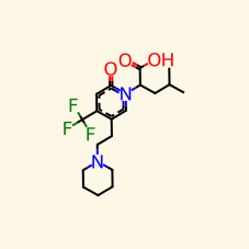 CC(C)CC(C(=O)O)n1cc(CCN2CCCCC2)c(C(F)(F)F)cc1=O